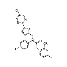 Cc1ccc(CC(=O)N(Cc2nnc(-c3ncc(Cl)cn3)o2)c2ccc(F)cc2)c(C(F)(F)F)c1